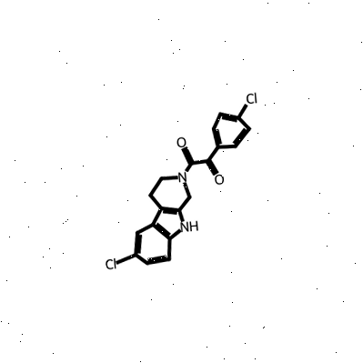 O=C(C(=O)N1CCc2c([nH]c3ccc(Cl)cc23)C1)c1ccc(Cl)cc1